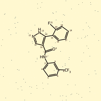 O=C(Nc1cccc(C(F)(F)F)c1)c1cn[nH]c1-c1ccccc1F